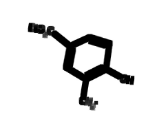 [CH2]c1cc(C(=O)OCC)ccc1O